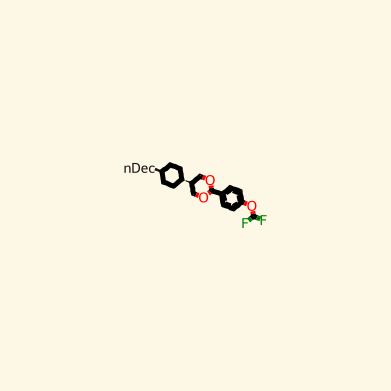 CCCCCCCCCC[C@H]1CC[C@H](C2COC(c3ccc(OC(F)F)cc3)OC2)CC1